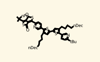 CCCCCCCCCCCCCCc1cc(-c2cc(CCCCCCCCCCCCCC)c(-c3ccc(C(C)(C)C)nc3)s2)sc1-c1ccc(C2=C3C(=O)SC(C(C)(C)CCC)=C3C(=O)S2)nc1